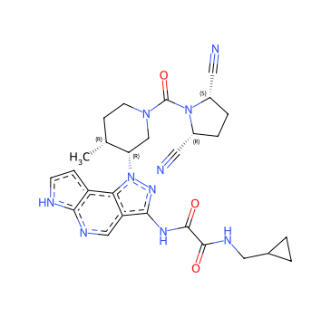 C[C@@H]1CCN(C(=O)N2[C@H](C#N)CC[C@@H]2C#N)C[C@@H]1n1nc(NC(=O)C(=O)NCC2CC2)c2cnc3[nH]ccc3c21